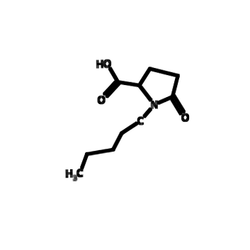 CCCCCN1C(=O)CCC1C(=O)O